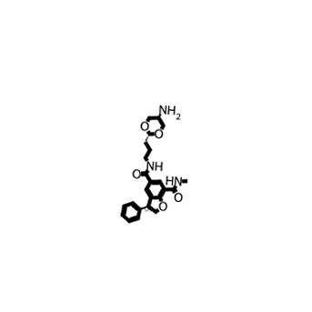 CNC(=O)c1cc(C(=O)NCCC[C@H]2OC[C@H](N)CO2)cc2c1OC[C@H]2c1ccccc1